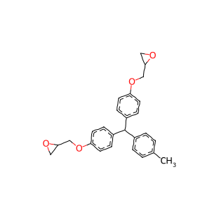 Cc1ccc(C(c2ccc(OCC3CO3)cc2)c2ccc(OCC3CO3)cc2)cc1